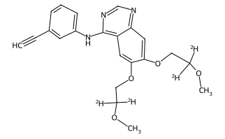 [2H]C([2H])(COc1cc2ncnc(Nc3cccc(C#C)c3)c2cc1OCC([2H])([2H])OC)OC